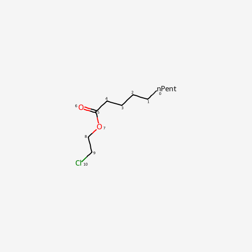 CCCCCCCCCC(=O)OCCCl